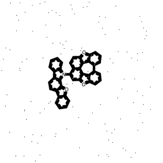 c1ccc2c(c1)oc1c2ccc2c3ccccc3n(-c3cc4oc5cccc6c5c4c4c3ccc3oc5cccc-6c5c34)c21